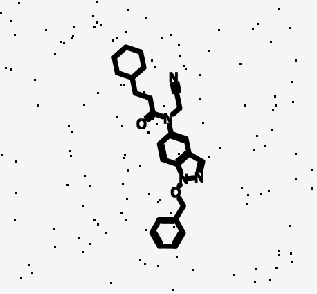 N#CCN(C(=O)CCC1CCCCC1)c1ccc2c(cnn2OCc2ccccc2)c1